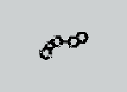 c1ccc2cc(-c3cnc4oc5nccnc5c4n3)ncc2c1